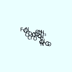 Cc1cnc(-c2ccnc(C3CCOCC3)n2)cc1-n1c(C)cc(OCc2ncc(F)cc2Cl)c(Cl)c1=O